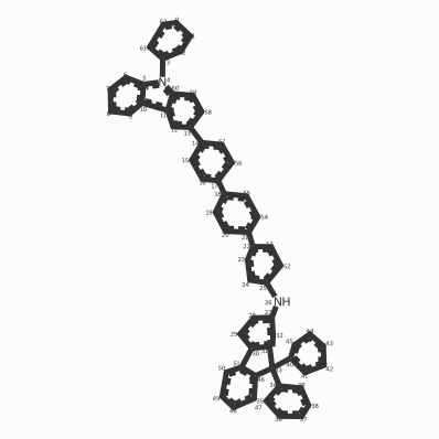 c1ccc(-n2c3ccccc3c3cc(-c4ccc(-c5ccc(-c6ccc(Nc7ccc8c(c7)C(c7ccccc7)(c7ccccc7)c7ccccc7-8)cc6)cc5)cc4)ccc32)cc1